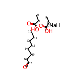 CCC(=O)O.CCC(=O)O.CCCCCCCC=O.[NaH]